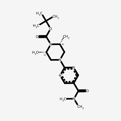 C[C@@H]1CN(c2ncc(C(=O)N(C)C)cn2)C[C@H](C)N1C(=O)OC(C)(C)C